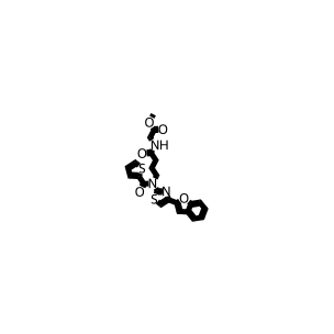 COC(=O)CNC(=O)CCCN(C(=O)c1cccs1)c1nc(-c2cc3ccccc3o2)cs1